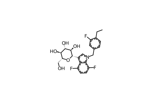 CCc1ccc(Cn2cc([C@@H]3O[C@H](CO)[C@@H](O)[C@H](O)[C@H]3O)c3c(F)ccc(F)c32)cc1F